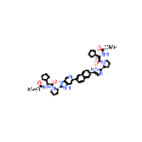 COC(=O)N[C@H](C(=O)N1CCC[C@H]1c1ncc(-c2ccc3cc(-c4cc5[nH]c([C@@H]6CCCN6C(=O)[C@@H](NC(=O)OC)C6CCCC6)nc5cn4)ccc3c2)[nH]1)C1CCCC1